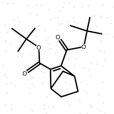 CC(C)(C)OC(=O)C1=C(C(=O)OC(C)(C)C)C2CCC1C2